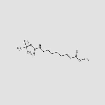 COC(=O)C=CCCCCCNC(=O)OC(C)(C)C